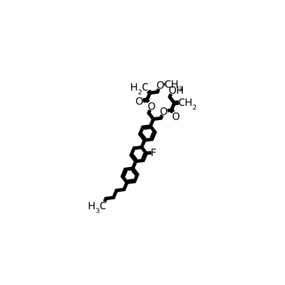 C=C(CO)C(=O)OCC(COC(=O)C(=C)COC)c1ccc(C2CC=C(c3ccc(CCCCC)cc3)C=C2F)cc1